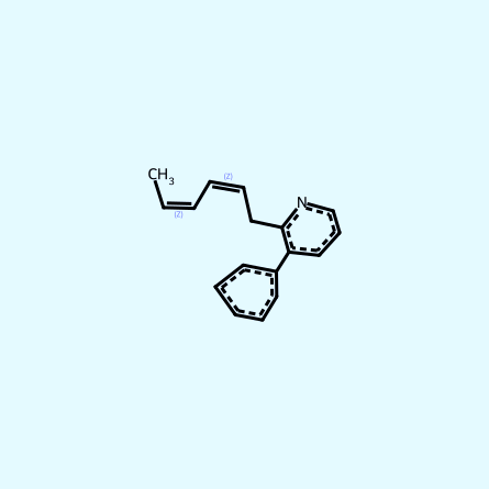 C/C=C\C=C/Cc1ncccc1-c1ccccc1